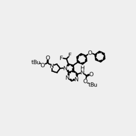 CC(C)(C)OC(=O)Nc1ncnc2c1c(-c1ccc(Oc3ccccc3)cc1)c(C(F)F)n2C1CCN(C(=O)OC(C)(C)C)C1